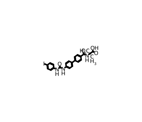 CC(C)(NC(=O)c1ccc(-c2ccc(NC(=O)Nc3ccc(I)cc3)cc2)cc1)C(=O)O